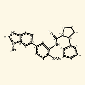 COc1ncc(-c2ccc3nnn(C(C)C)c3c2)cc1NC(=O)N1OCCC1c1ccccc1